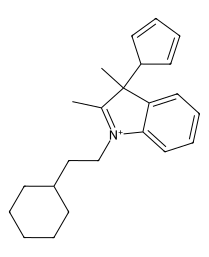 CC1=[N+](CCC2CCCCC2)c2ccccc2C1(C)C1C=CC=C1